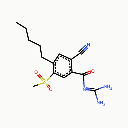 CCCCCc1cc(C#N)c(C(=O)N=C(N)N)cc1S(C)(=O)=O